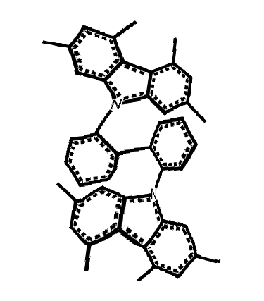 Cc1cc(C)c2c3c(C)cc(C)cc3n(-c3ccccc3-c3ccccc3-n3c4cc(C)cc(C)c4c4c(C)cc(C)cc43)c2c1